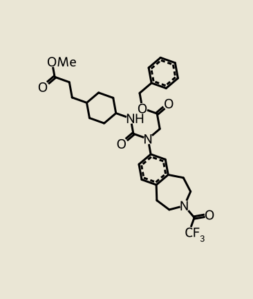 COC(=O)CCC1CCC(NC(=O)N(CC(=O)OCc2ccccc2)c2ccc3c(c2)CCN(C(=O)C(F)(F)F)CC3)CC1